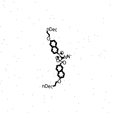 CCCCCCCCCCCCOc1ccc2cc(S(=O)(=O)C(=[N+]=[N-])S(=O)(=O)c3ccc4cc(OCCCCCCCCCCCC)ccc4c3)ccc2c1